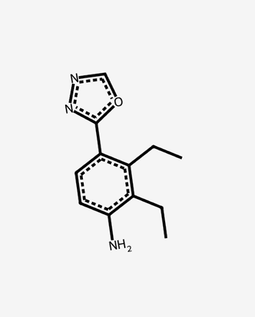 CCc1c(N)ccc(-c2nnco2)c1CC